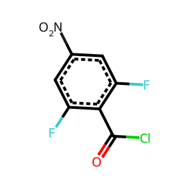 O=C(Cl)c1c(F)cc([N+](=O)[O-])cc1F